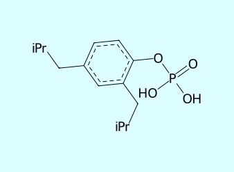 CC(C)Cc1ccc(OP(=O)(O)O)c(CC(C)C)c1